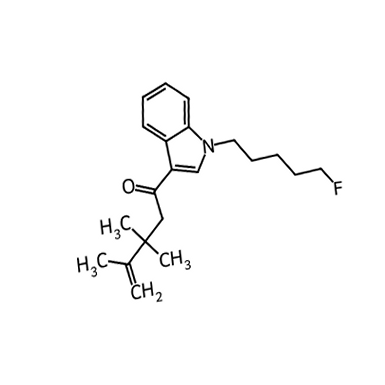 C=C(C)C(C)(C)CC(=O)c1cn(CCCCCF)c2ccccc12